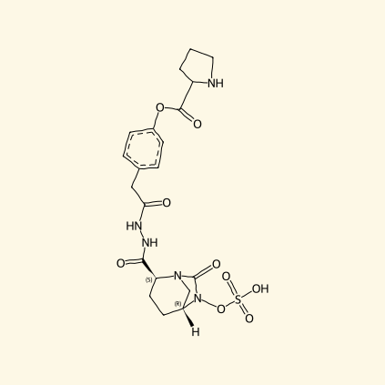 O=C(Cc1ccc(OC(=O)C2CCCN2)cc1)NNC(=O)[C@@H]1CC[C@@H]2CN1C(=O)N2OS(=O)(=O)O